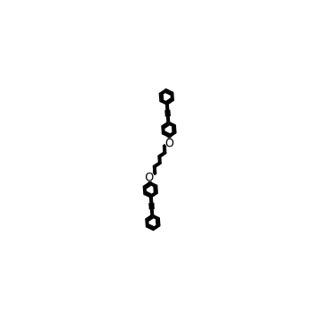 C(#Cc1ccc(OCCCCCCOc2ccc(C#Cc3ccccc3)cc2)cc1)c1ccccc1